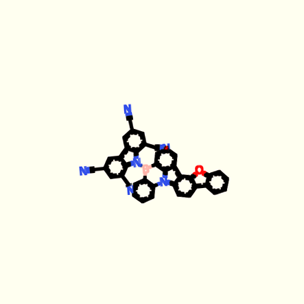 N#Cc1cc(C#N)c2c(c1)c1cc(C#N)cc(C#N)c1n2B1c2ccccc2-n2c3ccc4c5ccccc5oc4c3c3cccc1c32